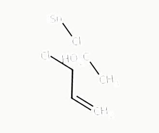 C=CCCl.CC(=O)O.[Cl][Sn]